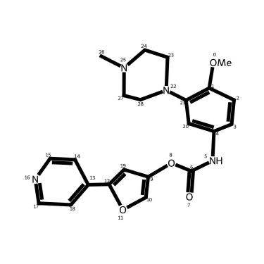 COc1ccc(NC(=O)Oc2coc(-c3ccncc3)c2)cc1N1CCN(C)CC1